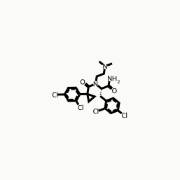 CN(C)CCN(C(=O)C1(c2ccc(Cl)cc2Cl)CC1)[C@@H](Cc1ccc(Cl)cc1Cl)C(N)=O